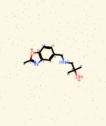 Cc1nc2cc(CNCC(C)(C)O)ccc2o1